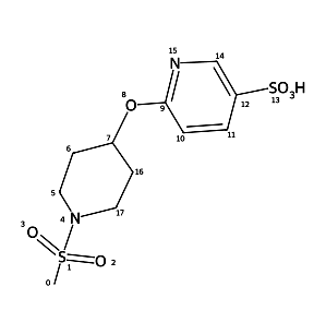 CS(=O)(=O)N1CCC(Oc2ccc(S(=O)(=O)O)cn2)CC1